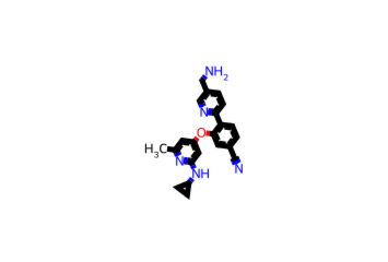 Cc1cc(Oc2cc(C#N)ccc2-c2ccc(CN)cn2)cc(NC2CC2)n1